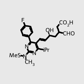 CSN(C)c1nc(-c2ccc(F)cc2)c(/C=C/[C@@H](O)CC(C=O)CC(=O)O)c(C(C)C)n1